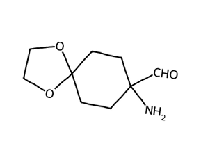 NC1(C=O)CCC2(CC1)OCCO2